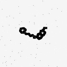 CCN1CCc2ccc(OCCCCN3CCCCC3)cc2C1